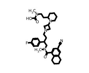 CN(CCC1CCCCN1C1CN(CCC(CN(C)C(=O)c2cc(C#N)cc3c2CCCC3)c2ccc(F)cc2)C1)C(=O)O